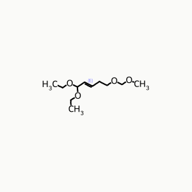 CCOC(/C=C/CCOCOC)OCC